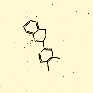 Cc1ccc(C2CCc3ccccc3N2)cc1C